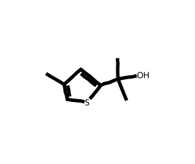 Cc1csc(C(C)(C)O)c1